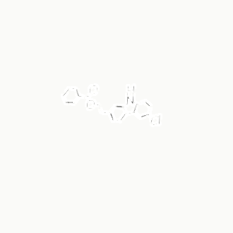 O=C(OCCc1ccc2c(c1)[nH]c1ccc(Cl)cc12)c1ccccc1